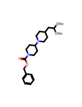 COC(CC1CCN(C2CCN(C(=O)OCc3ccccc3)CC2)CC1)OC